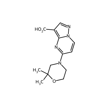 CC1(C)CN(c2ccn3ncc(C(=O)O)c3n2)CCO1